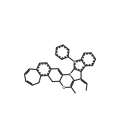 C/C=C1\C2=C(C)OC3Cc4c(ccc5c4CC=CC=C5)C=C3B2c2c1c1ccccc1n2-c1ccccc1